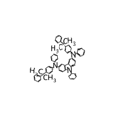 CC(C)(c1ccccc1)c1ccc(N(c2ccccc2)c2ccc3c(c2)c2cc(N(c4ccccc4)c4ccc(C(C)(C)c5ccccc5)cc4)ccc2n3-c2ccccc2)cc1